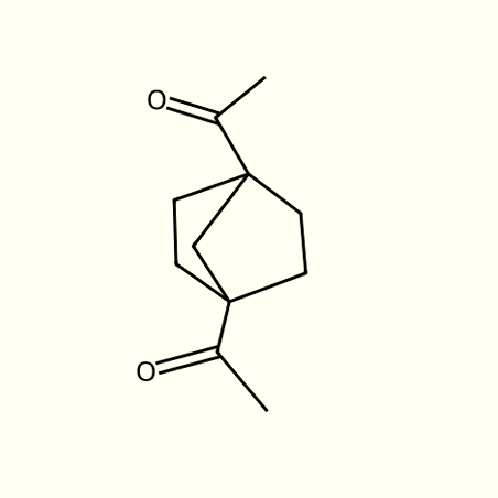 CC(=O)C12CCC(C(C)=O)(CC1)C2